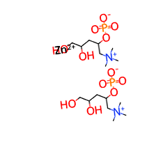 C[N+](C)(C)CC(CC(O)CO)OP(=O)([O-])[O-].C[N+](C)(C)CC(CC(O)CO)OP(=O)([O-])[O-].[Zn+2]